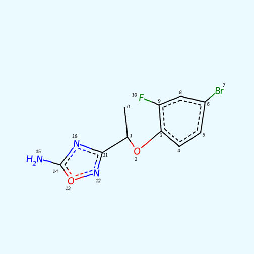 CC(Oc1ccc(Br)cc1F)c1noc(N)n1